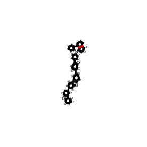 c1ccc(-c2ccccc2N(c2ccccc2)c2ccc3c(c2)oc2cc(-c4ccc5oc6cc(-c7ccc8oc9ccccc9c8c7)ccc6c5c4)ccc23)cc1